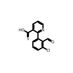 O=Cc1c(Cl)cccc1-c1ncccc1C(O)=S